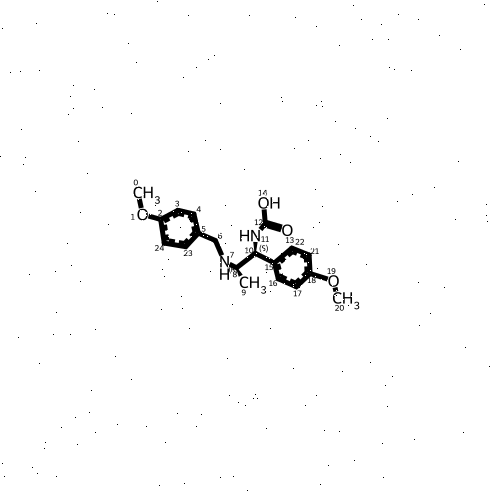 COc1ccc(CN[C@H](C)[C@@H](NC(=O)O)c2ccc(OC)cc2)cc1